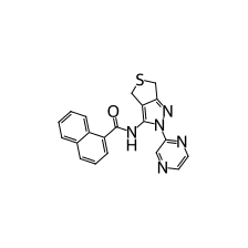 O=C(Nc1c2c(nn1-c1cnccn1)CSC2)c1cccc2ccccc12